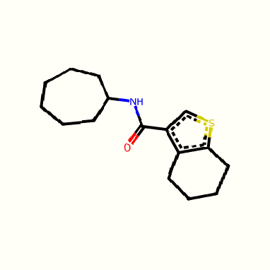 O=C(NC1CCCCCC1)c1csc2c1CCCC2